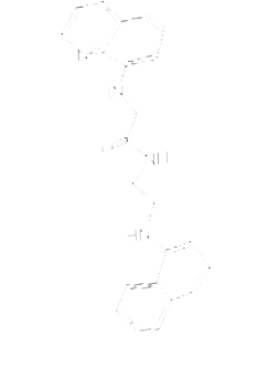 O=C(CNc1cccc2cccnc12)NCCNc1cccc2ccccc12